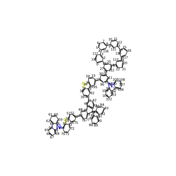 c1ccc(-c2cccc(-c3cccc(-c4cccc(-c5cccc(-c6cccc(-c7cc(-c8ccc9sc%10ccc(-c%11ccc%12c(c%11)-c%11cc(-c%13ccc%14sc%15c(-n%16c%17ccccc%17c%17ccccc%17%16)cccc%15c%14c%13)ccc%11C%12(c%11ccccc%11)c%11ccccc%11)cc%10c9c8)cc(-n8c9ccccc9c9ccccc98)c7)c6)c5)c4)c3)c2)cc1